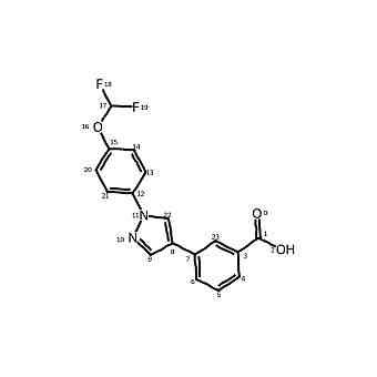 O=C(O)c1cccc(-c2cnn(-c3ccc(OC(F)F)cc3)c2)c1